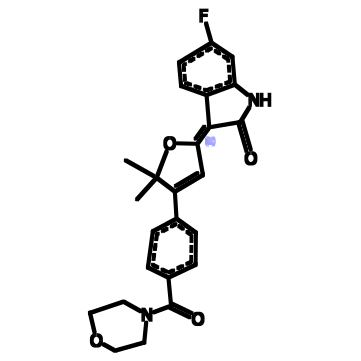 CC1(C)O/C(=C2/C(=O)Nc3cc(F)ccc32)C=C1c1ccc(C(=O)N2CCOCC2)cc1